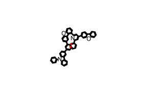 c1ccc(-c2cc(-c3ccc4c(c3)oc3ccccc34)cc(-c3cccc4oc5ccc(-c6cccc(-c7ccc8c(c7)c7ccccc7n8-c7ccccc7)c6)cc5c34)n2)cc1